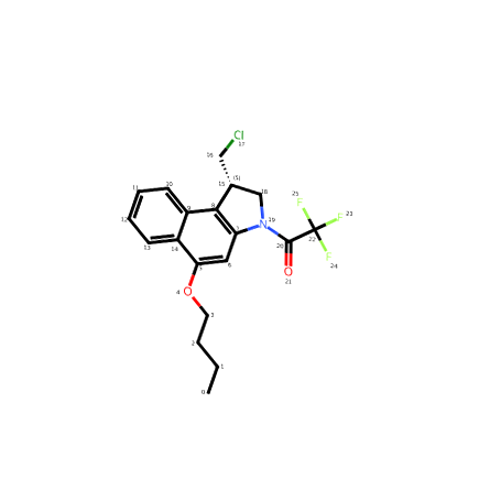 CCCCOc1cc2c(c3ccccc13)[C@H](CCl)CN2C(=O)C(F)(F)F